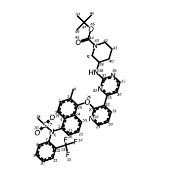 Cc1ccc2c(N(c3ccccc3C(F)(F)F)S(C)(=O)=O)cccc2c1Oc1ncccc1-c1ccnc(NC2CCCN(C(=O)OC(C)(C)C)C2)n1